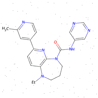 CCN1CCCN(C(=O)Nc2cncnc2)c2nc(-c3ccnc(C)c3)ccc21